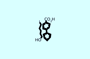 O=C(O)c1ccc(-c2ccccc2)cc1.OCCCCCI